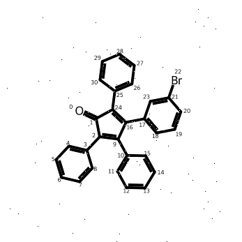 O=C1C(c2ccccc2)=C(c2ccccc2)C(c2cccc(Br)c2)=C1c1ccccc1